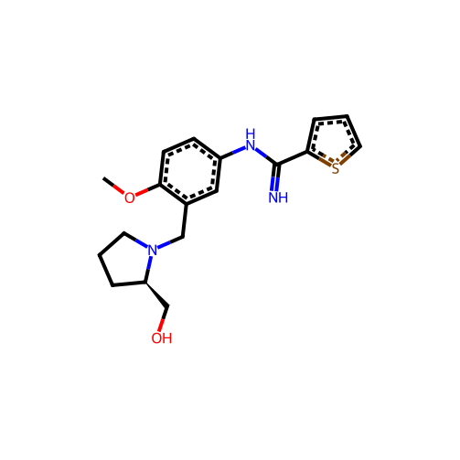 COc1ccc(NC(=N)c2cccs2)cc1CN1CCC[C@@H]1CO